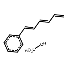 C=CC=CC=Cc1ccccc1.O=C(O)O